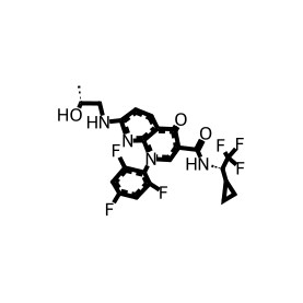 C[C@@H](O)CNc1ccc2c(=O)c(C(=O)N[C@@H](C3CC3)C(F)(F)F)cn(-c3c(F)cc(F)cc3F)c2n1